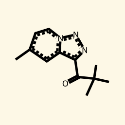 Cc1ccn2nnc(C(=O)C(C)(C)C)c2c1